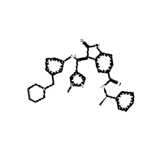 C[C@@H](NC(=O)c1ccc2c(c1)/C(=C(/Nc1cccc(CN3CCCCC3)c1)c1cnn(C)c1)C(=O)N2)c1ccccc1